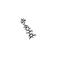 CC(C)(C)S(=O)(=O)CCN1CC2(CCC(C(=O)Nc3cc(F)cc(Cl)c3)CC2)C1